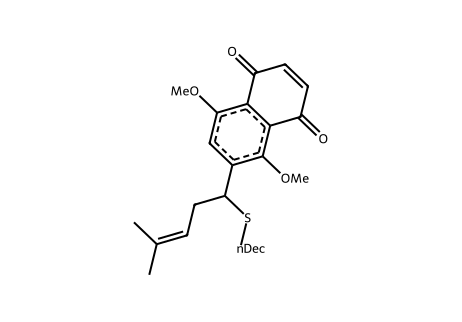 CCCCCCCCCCSC(CC=C(C)C)c1cc(OC)c2c(c1OC)C(=O)C=CC2=O